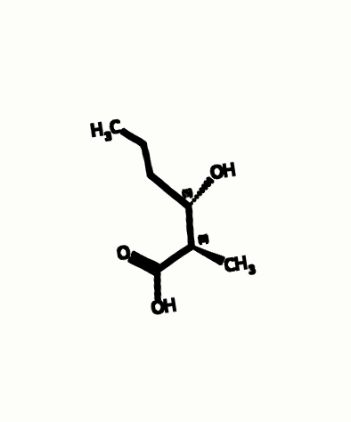 CCC[C@H](O)[C@@H](C)C(=O)O